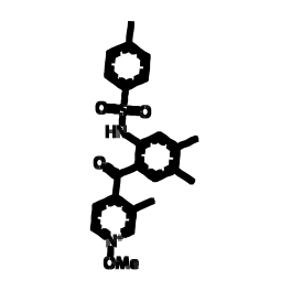 CO[n+]1ccc(C(=O)c2cc(C)c(C)cc2NS(=O)(=O)c2ccc(C)cc2)c(C)c1